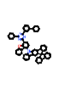 c1ccc(-c2cccc(-c3nc(-c4ccccc4)nc(-c4ccc(-n5c6ccccc6c6cc7c(cc65)-c5ccccc5C75c6ccccc6-c6ccccc65)c5c4oc4ccccc45)n3)c2)cc1